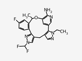 CCn1ncc2c1-c1cnc(N)c(c1)OC(C)c1cc(F)ccc1-c1nn(C(F)F)cc1C2